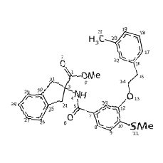 COC(=O)C1(NC(=O)c2ccc(SC)c(OCCc3cccc(C)c3)c2)Cc2ccccc2C1